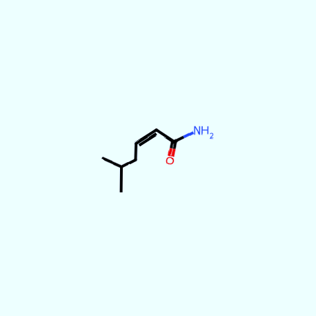 CC(C)C/C=C\C(N)=O